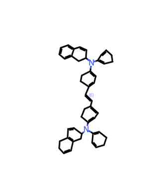 C1=CC(N(C2=CC=C(/C=C/C3=CC=C(N(C4=CCCC=C4)C4C=Cc5ccccc5C4)CC3)CC2)C2C=CC3=C(C=CCC3)C2)=CCC1